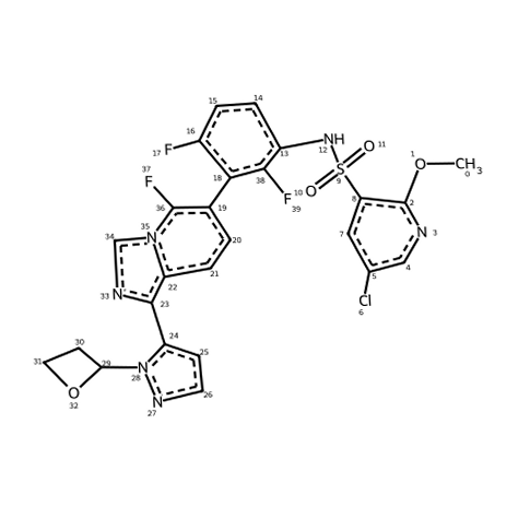 COc1ncc(Cl)cc1S(=O)(=O)Nc1ccc(F)c(-c2ccc3c(-c4ccnn4C4CCO4)ncn3c2F)c1F